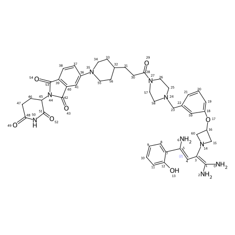 NC(N)=C(/C=C(\N)c1ccccc1O)N1CC(Oc2cccc(CN3CCN(C(=O)CCC4CCN(c5ccc6c(c5)C(=O)N(C5CCC(=O)NC5=O)C6=O)CC4)CC3)c2)C1